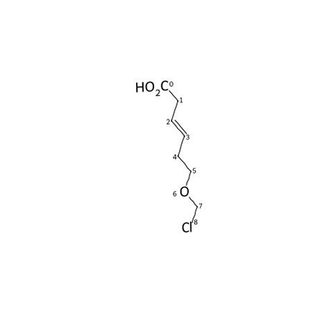 O=C(O)CC=CCCOCCl